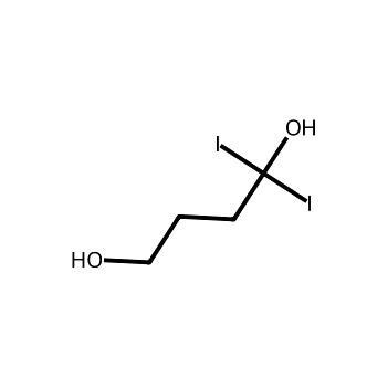 OCCCC(O)(I)I